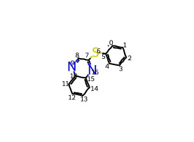 [c]1ccccc1Sc1cnc2ccccc2n1